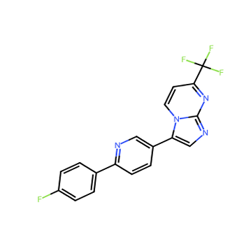 Fc1ccc(-c2ccc(-c3cnc4nc(C(F)(F)F)ccn34)cn2)cc1